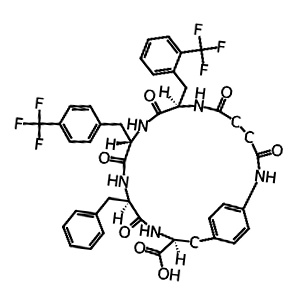 O=C1CCC(=O)N[C@H](Cc2ccccc2C(F)(F)F)C(=O)N[C@@H](Cc2ccc(C(F)(F)F)cc2)C(=O)N[C@H](Cc2ccccc2)C(=O)N[C@H](C(=O)O)Cc2ccc(cc2)N1